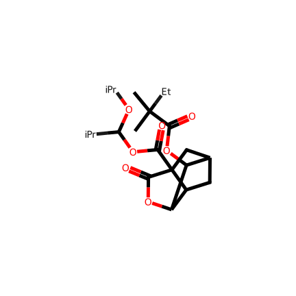 CCC(C)(C)C(=O)OC1C2CC3C1OC(=O)C3(C(=O)OC(OC(C)C)C(C)C)C2